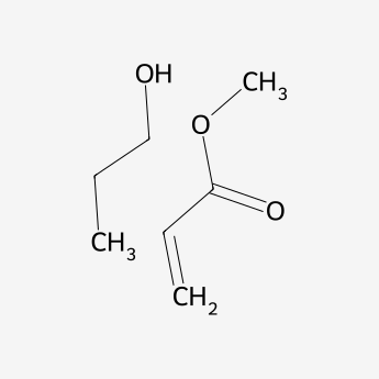 C=CC(=O)OC.CCCO